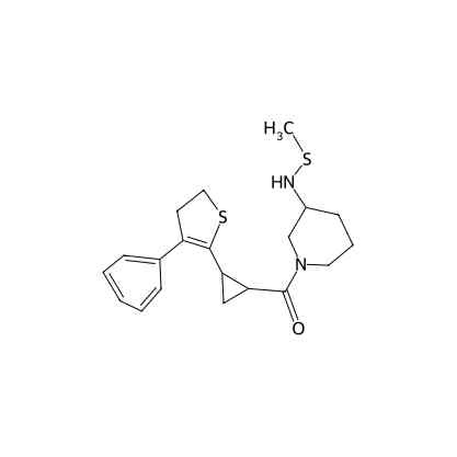 CSNC1CCCN(C(=O)C2CC2C2=C(c3ccccc3)CCS2)C1